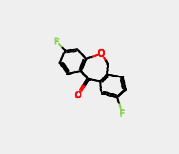 O=C1c2cc(F)ccc2COc2cc(F)ccc21